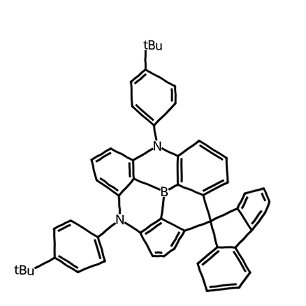 CC(C)(C)c1ccc(N2c3cccc4c3B3c5c2cccc5C2(c5ccccc5-c5ccccc52)c2cccc(c23)N4c2ccc(C(C)(C)C)cc2)cc1